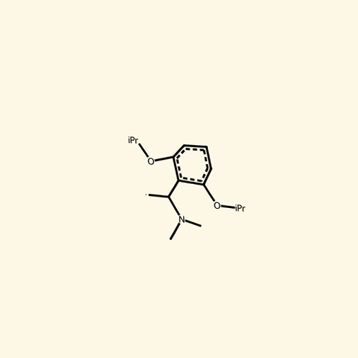 [CH2]C(c1c(OC(C)C)cccc1OC(C)C)N(C)C